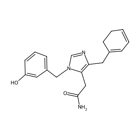 NC(=O)Cc1c(CC2=CC=CCC2)ncn1Cc1cccc(O)c1